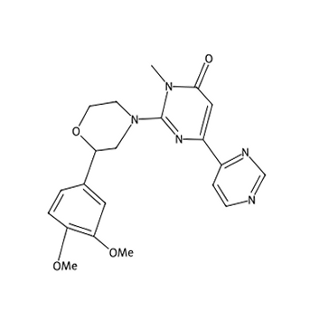 COc1ccc(C2CN(c3nc(-c4ccncn4)cc(=O)n3C)CCO2)cc1OC